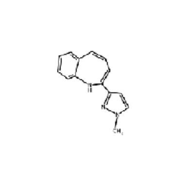 Cn1ccc(C2=CC=Cc3ccccc3N2)n1